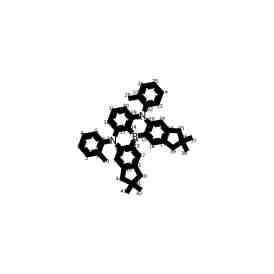 Cc1ccccc1N1c2cc3c(cc2B2c4cc5c(cc4N(c4ccccc4C)c4cccc1c42)CC(C)(C)C5)CC(C)(C)C3